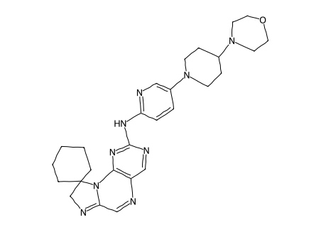 C1=Nc2cnc(Nc3ccc(N4CCC(N5CCOCC5)CC4)cn3)nc2N2C1=NCC21CCCCC1